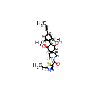 C=Cc1ncc(C(=O)N2CCC3(CC2)CC(=O)C(c2c(C)cc(C#CC)cc2C)C(=O)C3)s1